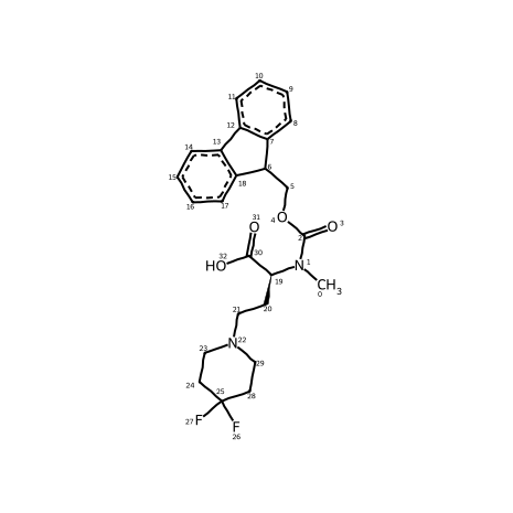 CN(C(=O)OCC1c2ccccc2-c2ccccc21)[C@@H](CCN1CCC(F)(F)CC1)C(=O)O